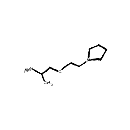 CNC(C)COCCN1CCCC1